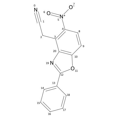 N#CCc1c([N+](=O)[O-])ccc2oc(-c3ccccc3)nc12